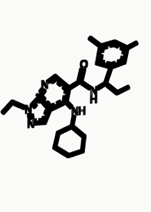 CCC(NC(=O)c1cnc2c(cnn2CC)c1NC1CCCCC1)c1cc(C)cc(C)c1